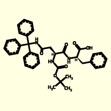 CC(C)(C)OC(=O)N[C@@H](CC(=O)NC(c1ccccc1)(c1ccccc1)c1ccccc1)C(=O)N[C@@H](Cc1ccccc1)C(=O)O